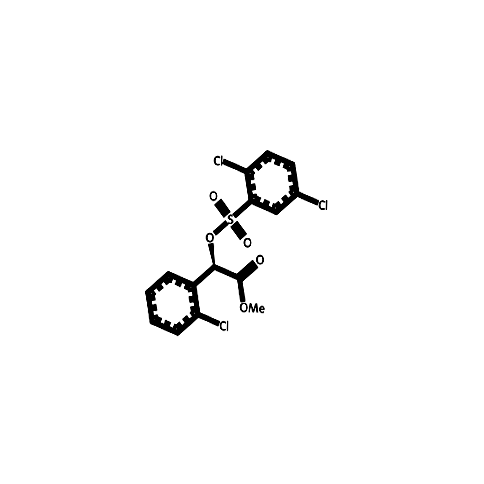 COC(=O)[C@H](OS(=O)(=O)c1cc(Cl)ccc1Cl)c1ccccc1Cl